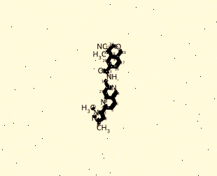 Cc1cc(-c2ccc3cnc(CNC(=O)c4ccc5c(c4)[C@](C)(C#N)COC5)cc3n2)n(C)n1